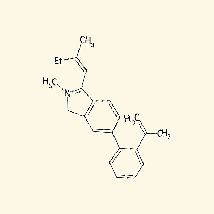 C=C(C)c1ccccc1-c1ccc2c(c1)C[N+](C)=C2/C=C(/C)CC